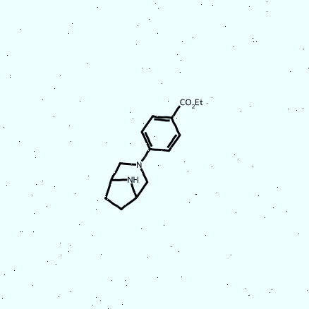 CCOC(=O)c1ccc(N2CC3CCC(C2)N3)cc1